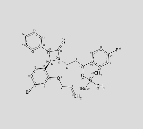 C=CCOc1cc(Br)ccc1[C@@H]1[C@@H](CCC(O[Si](C)(C)C(C)(C)C)c2ccc(F)cc2)C(=O)N1c1ccccc1